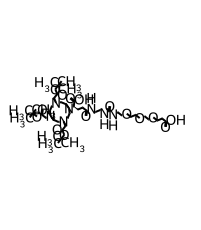 CC(C)(C)OC(=O)CN1CCN(CC(=O)OC(C)(C)C)CCN([C@H](CCC(=O)NCCNC(=O)NCCOCCOCCOCCC(=O)O)C(=O)O)CCN(CC(=O)OC(C)(C)C)CC1